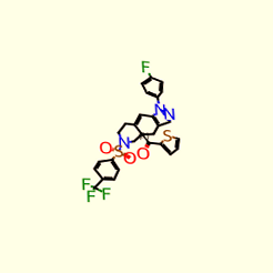 O=C(c1cccs1)[C@]12Cc3cnn(-c4ccc(F)cc4)c3C=C1CCN(S(=O)(=O)c1ccc(C(F)(F)F)cc1)C2